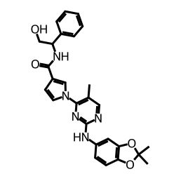 Cc1cnc(Nc2ccc3c(c2)OC(C)(C)O3)nc1-n1ccc(C(=O)NC(CO)c2ccccc2)c1